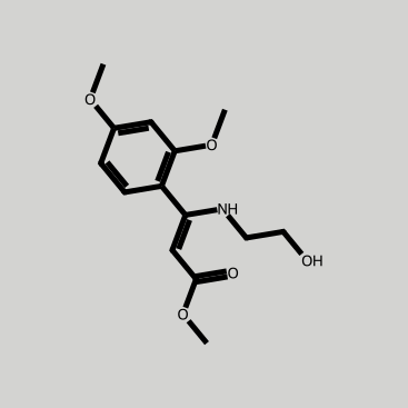 COC(=O)C=C(NCCO)c1ccc(OC)cc1OC